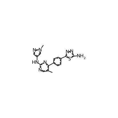 Cc1cnc(Nc2cnn(C)c2)nc1-c1ccc(-c2nnc(N)s2)cc1